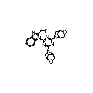 FCc1nc2ccccc2n1-c1nc(N2CC3CC2CO3)nc(N2CC3CC2CO3)n1